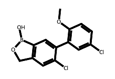 COc1ccc(Cl)cc1-c1cc2c(cc1Cl)COB2O